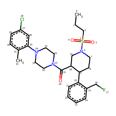 CCCS(=O)(=O)N1CCC(c2ccccc2CF)C(C(=O)N2CCN(c3cc(Cl)ccc3C)CC2)C1